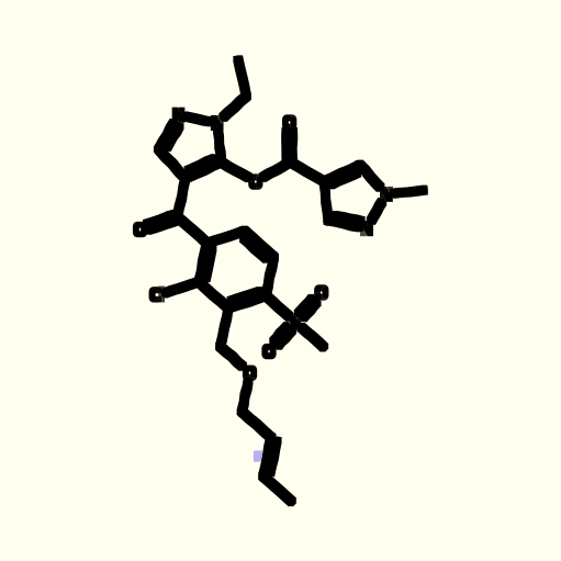 C/C=C/COCc1c(S(C)(=O)=O)ccc(C(=O)c2cnn(CC)c2OC(=O)c2cnn(C)c2)c1Cl